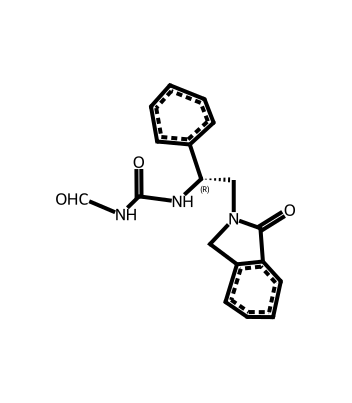 O=CNC(=O)N[C@@H](CN1Cc2ccccc2C1=O)c1ccccc1